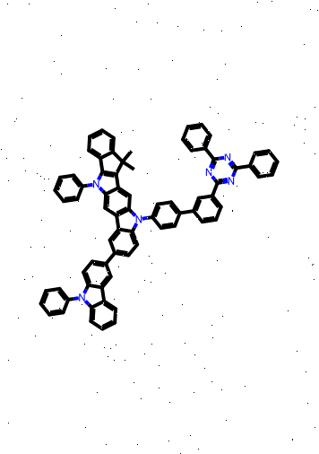 CC1(C)c2ccccc2-c2c1c1cc3c(cc1n2-c1ccccc1)c1cc(-c2ccc4c(c2)c2ccccc2n4-c2ccccc2)ccc1n3-c1ccc(-c2cccc(-c3nc(-c4ccccc4)nc(-c4ccccc4)n3)c2)cc1